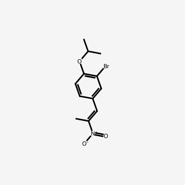 C/C(=C\c1ccc(OC(C)C)c(Br)c1)[N+](=O)[O-]